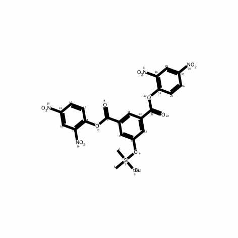 CC(C)(C)[Si](C)(C)Oc1cc(C(=O)Oc2ccc([N+](=O)[O-])cc2[N+](=O)[O-])cc(C(=O)Oc2ccc([N+](=O)[O-])cc2[N+](=O)[O-])c1